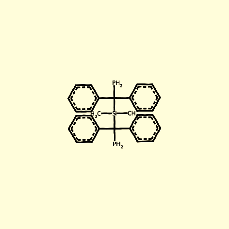 C[Si](C)(C(P)(c1ccccc1)c1ccccc1)C(P)(c1ccccc1)c1ccccc1